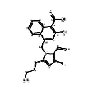 CCCCc1nc(I)c(C=O)n1Cc1cc(C)c(C(=O)O)c2ccccc12